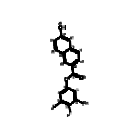 O=C(Oc1cc(F)c(F)c(F)c1)c1ccc2cc(O)ccc2c1